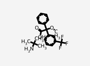 CC(C)(C)N.COC(C(=O)O)(c1ccccc1)c1cccc(C(F)(F)F)c1